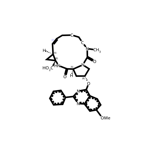 COc1ccc2c(O[C@@H]3C[C@H]4C(=O)N[C@]5(C(=O)O)C[C@H]5/C=C\CCCCN(C)C(=O)N4C3)nc(-c3ccccc3)nc2c1